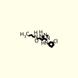 CCCCNC(=O)c1cc2c(Nc3cccc(Cl)c3)ncnc2[nH]1